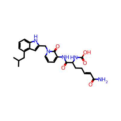 CC(C)Cc1cccc2[nH]c(Cn3cccc(NC(=O)C(CCC=CC(N)=O)NC(=O)O)c3=O)cc12